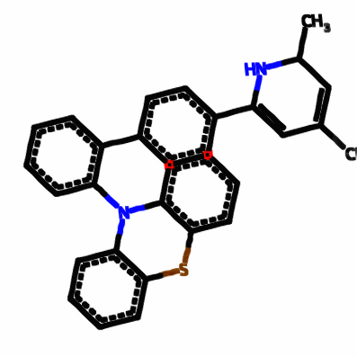 CC1C=C(C#N)C=C(c2ccc(-c3ccccc3N3c4ccccc4Sc4ccccc43)cc2)N1